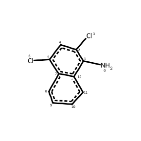 Nc1c(Cl)cc(Cl)c2ccccc12